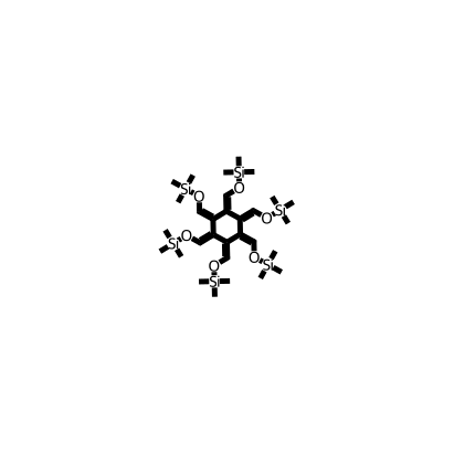 C[Si](C)(C)OC=c1c(=CO[Si](C)(C)C)c(=CO[Si](C)(C)C)c(=CO[Si](C)(C)C)c(=CO[Si](C)(C)C)c1=CO[Si](C)(C)C